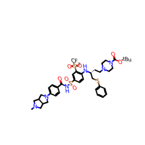 CN1CC2CN(c3ccc(C(=O)NS(=O)(=O)c4ccc(N[C@H](CCN5CCN(C(=O)OC(C)(C)C)CC5)CSc5ccccc5)c(S(=O)(=O)C(F)(F)F)c4)cc3)CC2C1